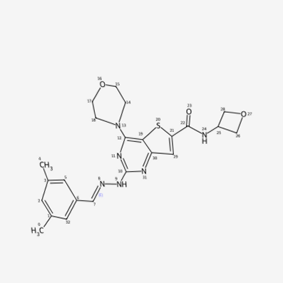 Cc1cc(C)cc(/C=N/Nc2nc(N3CCOCC3)c3sc(C(=O)NC4COC4)cc3n2)c1